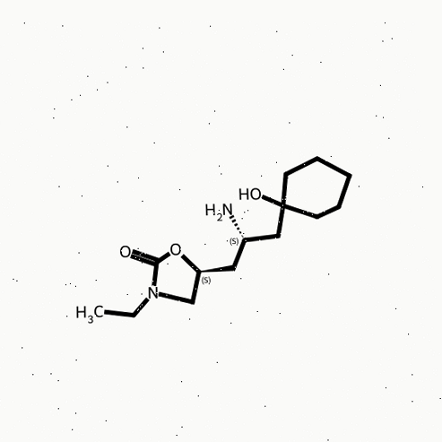 CCN1C[C@H](C[C@H](N)CC2(O)CCCCC2)OC1=O